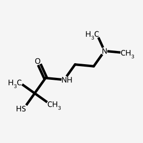 CN(C)CCNC(=O)C(C)(C)S